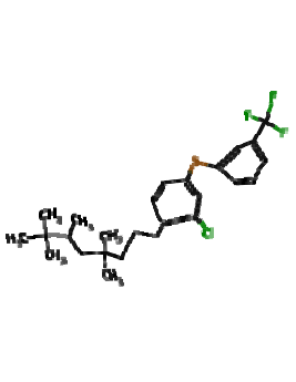 CC(CC(C)(C)CCCc1ccc(Sc2cccc(C(F)(F)F)c2)cc1Cl)C(C)(C)C